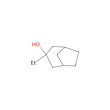 CCC1(O)CC2CCC(C2)C1